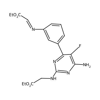 CCOC(=O)C=Nc1cccc(-c2nc(NCC(=O)OCC)nc(N)c2F)c1